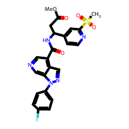 COC(=O)CC(NC(=O)c1cncc2c1cnn2-c1ccc(F)cc1)c1ccnc(S(C)(=O)=O)c1